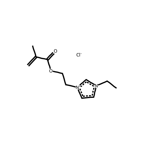 C=C(C)C(=O)OCC[n+]1ccn(CC)c1.[Cl-]